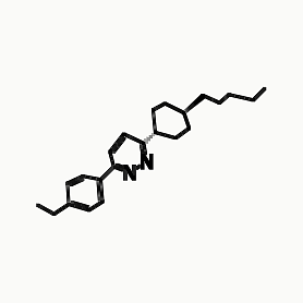 CCCCC[C@H]1CC[C@H](c2ccc(-c3ccc(CC)cc3)nn2)CC1